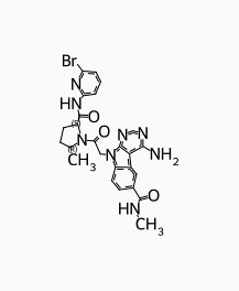 CNC(=O)c1ccc2c(c1)c1c(N)ncnc1n2CC(=O)N1[C@H](C)CC[C@H]1C(=O)Nc1cccc(Br)n1